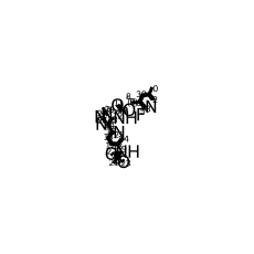 Cc1cnc(F)c([C@@H](C)OC(=O)Nc2c(-c3ccc(NS(C)(=O)=O)cn3)nnn2C)c1